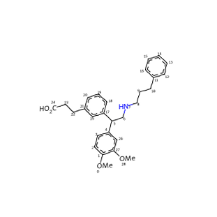 COc1ccc(C(CNCCCc2ccccc2)c2cccc(CCC(=O)O)c2)cc1OC